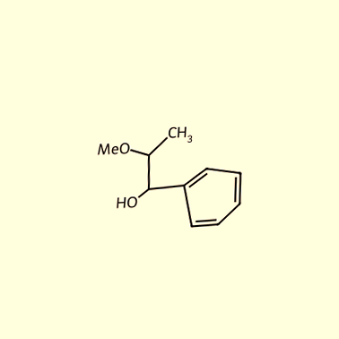 COC(C)C(O)c1ccccc1